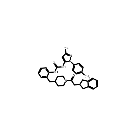 Cc1ccc(-n2nc(C(C)(C)C)cc2NC(=O)Nc2ccccc2CC2CCN(C(=O)CC3Cc4ccccc4C3)CC2)cc1